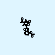 CC(=O)Oc1cccc2oc(-c3oc(=O)c(C)c(C(C)=O)c3C)cc12